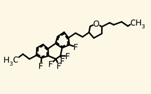 CCCCCC1CCC(CCc2ccc3c(c2F)C(F)(F)C(F)(F)c2c-3ccc(CCC)c2F)CO1